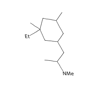 CCC1(C)CC(C)CC(CC(C)NC)C1